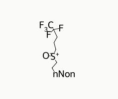 [CH2]CCCCCCCCCC[S+]([O-])CCCC(F)(F)C(F)(F)F